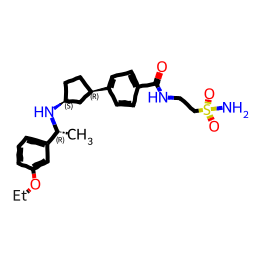 CCOc1cccc([C@@H](C)N[C@H]2CC[C@@H](c3ccc(C(=O)NCCS(N)(=O)=O)cc3)C2)c1